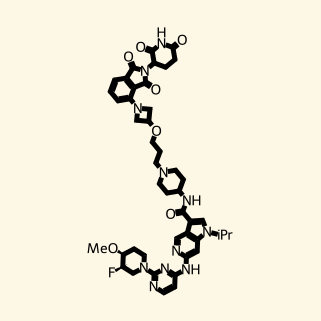 CO[C@H]1CCN(c2nccc(Nc3cc4c(cn3)c(C(=O)NC3CCN(CCCOC5CN(c6cccc7c6C(=O)N(C6CCC(=O)NC6=O)C7=O)C5)CC3)cn4C(C)C)n2)C[C@H]1F